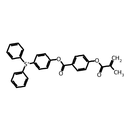 C=C(C)C(=O)Oc1ccc(C(=O)Oc2ccc([S+](c3ccccc3)c3ccccc3)cc2)cc1